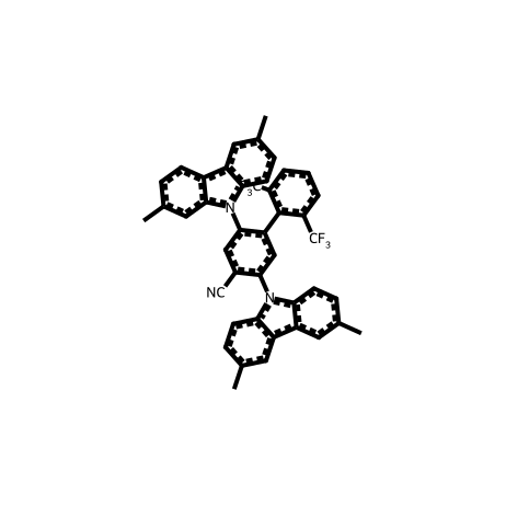 Cc1ccc2c(c1)c1cc(C)ccc1n2-c1cc(-c2c(C(F)(F)F)cccc2C(F)(F)F)c(-n2c3ccc(C)cc3c3ccc(C)cc32)cc1C#N